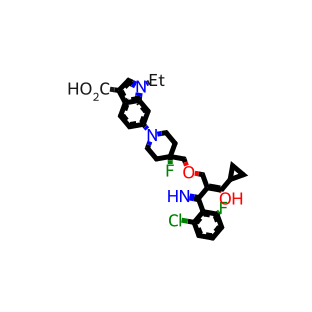 CCn1cc(C(=O)O)c2ccc(N3CCC(F)(COC/C(C(=N)c4c(F)cccc4Cl)=C(/O)C4CC4)CC3)cc21